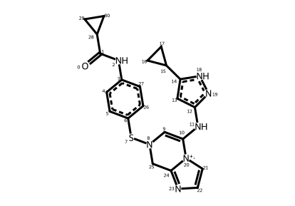 O=C(Nc1ccc(SN2C=C(Nc3cc(C4CC4)[nH]n3)[N+]3C=CN=C3C2)cc1)C1CC1